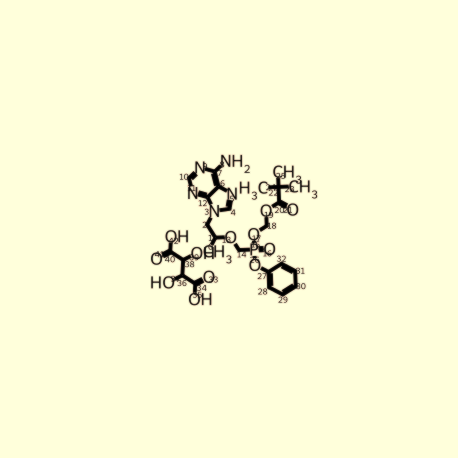 CC(Cn1cnc2c(N)ncnc21)OCP(=O)(OCOC(=O)C(C)(C)C)Oc1ccccc1.O=C(O)C(O)C(O)C(=O)O